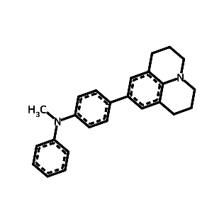 CN(c1ccccc1)c1ccc(-c2cc3c4c(c2)CCCN4CCC3)cc1